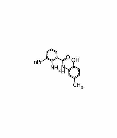 CCCc1cccc(C(=O)Nc2cc(C)ccc2O)c1N